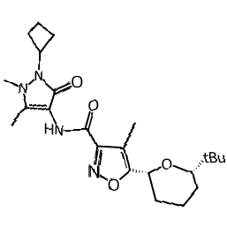 Cc1c(C(=O)Nc2c(C)n(C)n(C3CCC3)c2=O)noc1[C@H]1CCC[C@@H](C(C)(C)C)O1